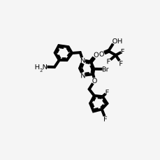 NCc1cccc(Cn2cnc(OCc3ccc(F)cc3F)c(Br)c2=O)c1.O=C(O)C(F)(F)F